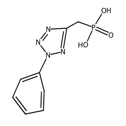 O=P(O)(O)Cc1nnn(-c2ccccc2)n1